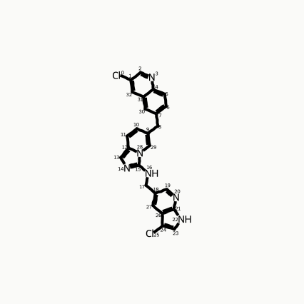 Clc1cnc2ccc(Cc3ccc4cnc(NCc5cnc6[nH]cc(Cl)c6c5)n4c3)cc2c1